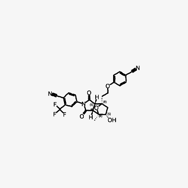 C[C@]12O[C@](CCOc3ccc(C#N)cc3)(C[C@@H]1O)[C@H]1C(=O)N(c3ccc(C#N)c(C(F)(F)F)c3)C(=O)[C@H]12